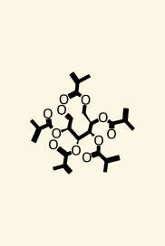 C=C(C)C(=O)OC[C@@H](OC(=O)C(=C)C)[C@@H](OC(=O)C(=C)C)[C@H](OC(=O)C(=C)C)[C@H](C=O)OC(=O)C(=C)C